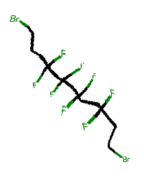 FC(F)(CCBr)C(F)(F)C(F)(F)C(F)(F)CCBr